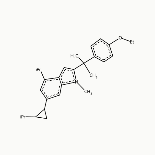 CCOc1ccc(C(C)(C)c2cc3c(C(C)C)cc(C4CC4C(C)C)cc3n2C)cc1